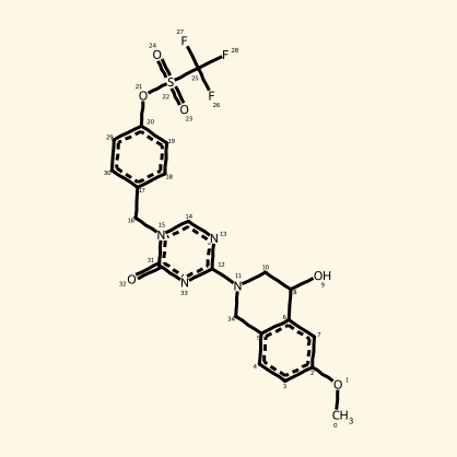 COc1ccc2c(c1)C(O)CN(c1ncn(Cc3ccc(OS(=O)(=O)C(F)(F)F)cc3)c(=O)n1)C2